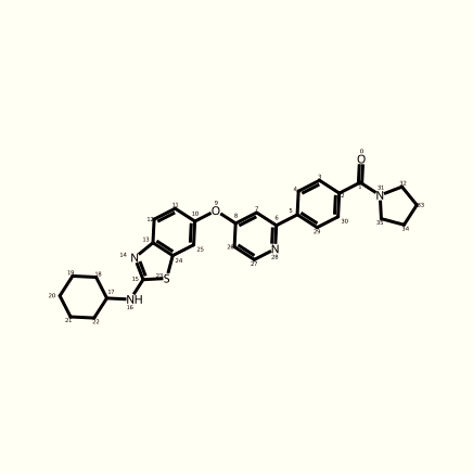 O=C(c1ccc(-c2cc(Oc3ccc4nc(NC5CCCCC5)sc4c3)ccn2)cc1)N1CCCC1